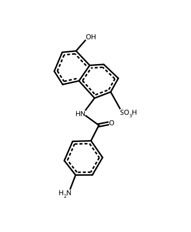 Nc1ccc(C(=O)Nc2c(S(=O)(=O)O)ccc3c(O)cccc23)cc1